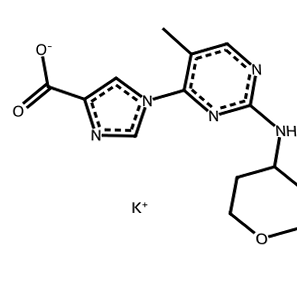 Cc1cnc(NC2CCOCC2)nc1-n1cnc(C(=O)[O-])c1.[K+]